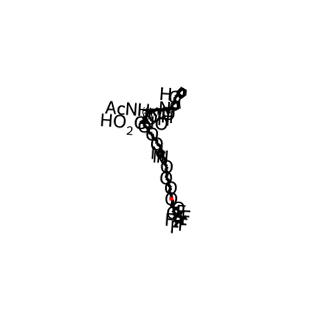 CC(=O)N[C@@H](C[C@H](O)CCNC(=O)c1cccc(Oc2ccccc2)c1)[C@@H](O)CC(N=O)(OCCOCCOCc1cn(CCOCCOCCOCCOCCC(=O)Oc2c(F)c(F)c(F)c(F)c2F)nn1)C(=O)O